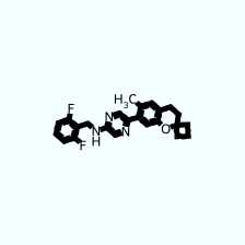 Cc1cc2c(cc1-c1cnc(NCc3c(F)cccc3F)cn1)OC1(CCC1)CC2